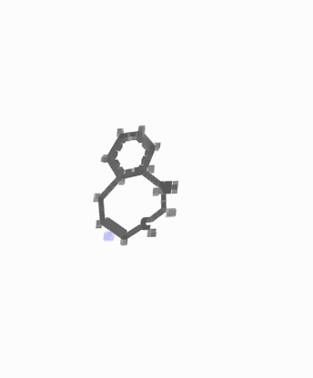 C1=C\Cc2ccccc2NCC/1